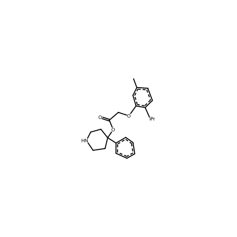 Cc1ccc(C(C)C)c(OCC(=O)OC2(c3ccccc3)CCNCC2)c1